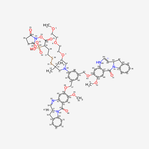 COCCOCCOCCN(CC(C)(C)SSCCC(C(=O)ON1C(=O)CCC1=O)S(=O)(=O)O)c1cc(COc2cc3c(cc2OC)C(=O)N2c4ccccc4C[C@H]2C=N3)cc(COc2cc3c(cc2OC)C(=O)N2c4ccccc4CC2/C=C/N3)c1